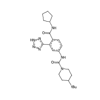 CC(C)(C)C1CCN(C(=O)Nc2ccc(C(=O)NC3CCCC3)c(-c3nn[nH]n3)c2)CC1